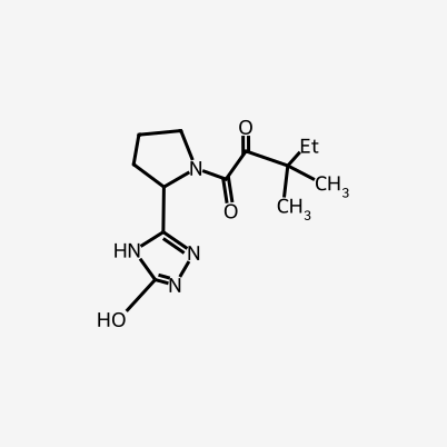 CCC(C)(C)C(=O)C(=O)N1CCCC1c1nnc(O)[nH]1